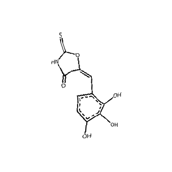 O=C1NC(=S)OC1=Cc1ccc(O)c(O)c1O